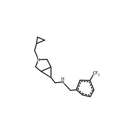 FC(F)(F)c1cccc(CNCC2C3CN(CC4CC4)CC23)c1